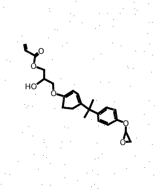 C=CC(=O)OCC(O)COC1=CC=C(C(C)(C)c2ccc(OC3CO3)cc2)CC1